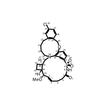 CO[C@@H]1/C=C/CCC(=O)NS(=O)(=O)c2ccc3c(c2)N(CCCCc2cc(Cl)ccc2CO3)C[C@@H]2CC[C@H]21